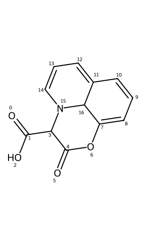 O=C(O)C1C(=O)OC2=CC=CC3=CC=CN1C32